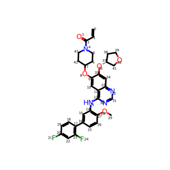 C=CC(=O)N1CCC(Oc2cc3c(Nc4cc(-c5ccc(F)cc5F)ccc4OC)ncnc3cc2O[C@@H]2CCOC2)CC1